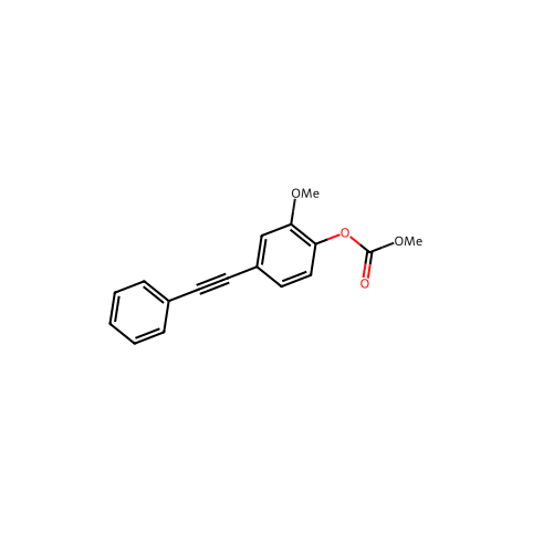 COC(=O)Oc1ccc(C#Cc2ccccc2)cc1OC